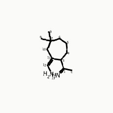 CC(=N)C1CCCC(C)(C)C/C1=C/N